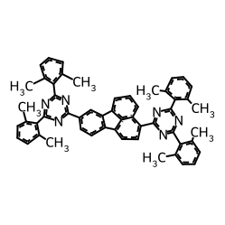 Cc1cccc(C)c1-c1nc(-c2ccc3c(c2)-c2cccc4c(-c5nc(-c6c(C)cccc6C)nc(-c6c(C)cccc6C)n5)ccc-3c24)nc(-c2c(C)cccc2C)n1